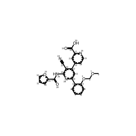 COCOc1ccccc1-c1cc(-c2ccnc(C(=O)O)c2)c(C#N)c(NC(=O)c2ccco2)n1